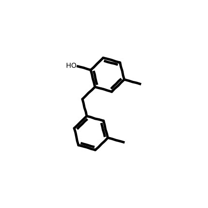 Cc1cccc(Cc2cc(C)ccc2O)c1